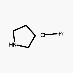 C1CCNC1.CC(C)Cl